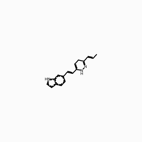 C/C=C/C1=NNC(/C=C/c2ccc3cc[nH]c3c2)=CC1